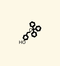 Oc1ccc(CCOC(c2ccccc2)(c2ccccc2)c2ccccc2)cc1